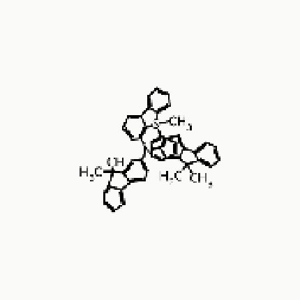 CC1(C)c2ccccc2-c2ccc(N(c3ccc4c(c3)C(C)(C)c3ccccc3-4)c3cccc4c3S(C)(c3ccccc3)c3ccccc3-4)cc21